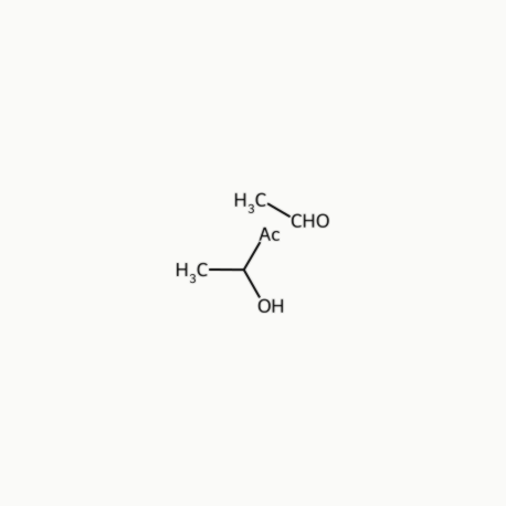 CC(=O)C(C)O.CC=O